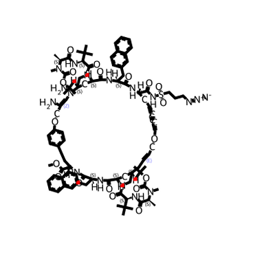 COC(=O)[C@@H]1Cc2ccc(cc2)OC/C(N)=C/N(N)[C@H]2C[C@@H](C(=O)N[C@@H](Cc3ccc4ccccc4c3)C(=O)N[C@H](C(=O)NS(=O)(=O)CCCN=[N+]=[N-])Cc3ccc(cc3)OC/C=C/C[C@H]3C[C@@H](C(=O)N[C@@H](Cc4ccc5ccccc5c4)C(=O)N1)N(C(=O)[C@@H](NC(=O)[C@H](C)N(C)C(=O)OC(C)(C)C)C(C)(C)C)C3)N(C(=O)[C@@H](NC(=O)[C@H](C)N(C)C(=O)OC(C)(C)C)C(C)(C)C)C2